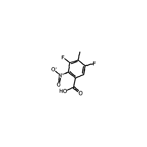 Cc1c(F)cc(C(=O)O)c([N+](=O)[O-])c1F